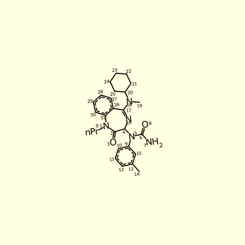 CCCN1C(=O)C(N(C(N)=O)c2cccc(C)c2)N=C(N(C)C2CCCCC2)c2ccccc21